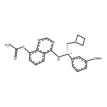 COc1cccc([C@@H](CN2CCC2)Nc2ncnc3c(OC(N)=O)cccc23)c1